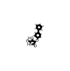 O=C1NC(=O)C(Oc2ccc(-c3ccccc3)cc2)=C1O